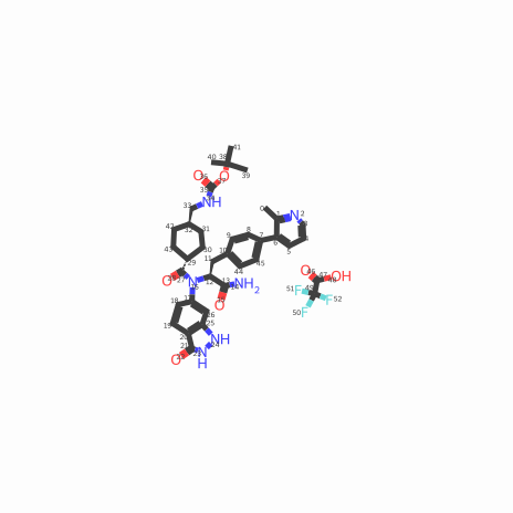 Cc1ncccc1-c1ccc(C[C@@H](C(N)=O)N(c2ccc3c(=O)[nH][nH]c3c2)C(=O)[C@H]2CC[C@H](CNC(=O)OC(C)(C)C)CC2)cc1.O=C(O)C(F)(F)F